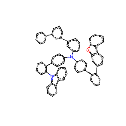 c1ccc(-c2cccc(-c3cccc(N(c4ccc(-c5ccccc5-c5ccc6c(c5)oc5ccccc56)cc4)c4ccc(-c5ccccc5-n5c6ccccc6c6ccccc65)cc4)c3)c2)cc1